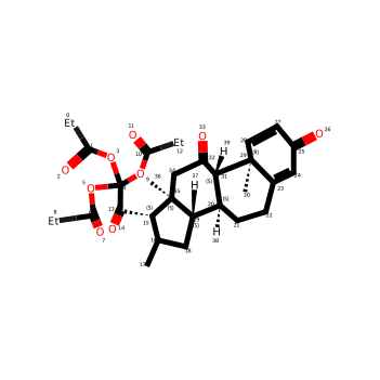 CCC(=O)OC(OC(=O)CC)(OC(=O)CC)C(=O)[C@H]1C(C)C[C@H]2[C@@H]3CCC4=CC(=O)C=C[C@]4(C)[C@H]3C(=O)C[C@]12C